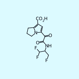 O=C(NC(CF)C(F)F)C(=O)c1cc(C(=O)O)c2n1CCC2